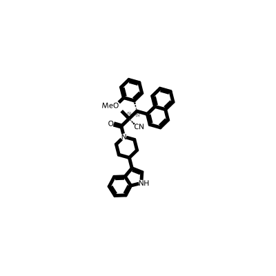 COc1ccccc1[C@H](c1cccc2ccccc12)[C@@](C)(C#N)C(=O)N1CCC(c2c[nH]c3ccccc23)CC1